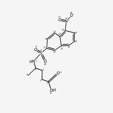 CC(CCC(=O)O)NS(=O)(=O)c1ccc2c([N+](=O)[O-])cccc2c1